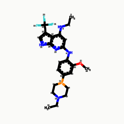 CCNc1cc(Nc2ccc(P3CCN(CC)CC3)cc2OC)nc2[nH]cc(C(F)(F)F)c12